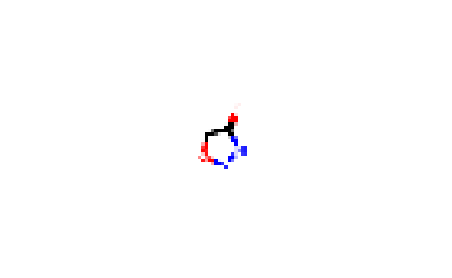 O=C1CO[N]N1